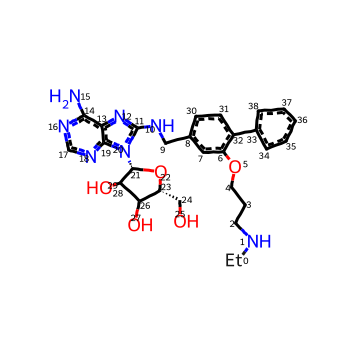 CCNCCCOc1cc(CNc2nc3c(N)ncnc3n2[C@@H]2O[C@H](CO)C(O)C2O)ccc1-c1ccccc1